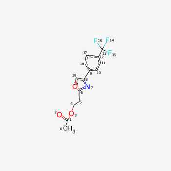 CC(=O)OCCc1nc(-c2ccc(C(F)(F)F)cc2)co1